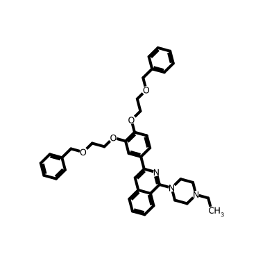 CCN1CCN(c2nc(-c3ccc(OCCOCc4ccccc4)c(OCCOCc4ccccc4)c3)cc3ccccc23)CC1